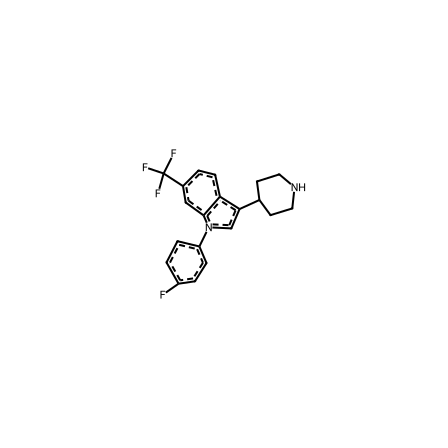 Fc1ccc(-n2cc(C3CCNCC3)c3ccc(C(F)(F)F)cc32)cc1